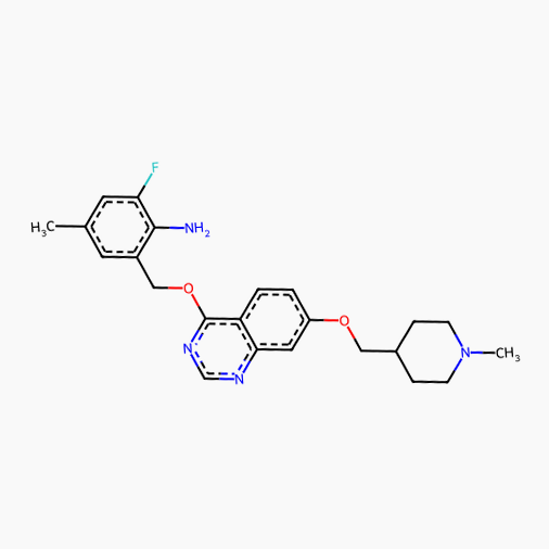 Cc1cc(F)c(N)c(COc2ncnc3cc(OCC4CCN(C)CC4)ccc23)c1